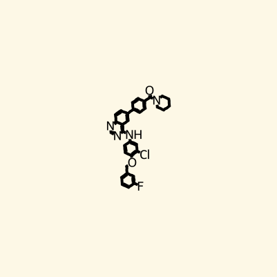 O=C(c1ccc(-c2ccc3ncnc(Nc4ccc(OCc5cccc(F)c5)c(Cl)c4)c3c2)cc1)N1CCCCC1